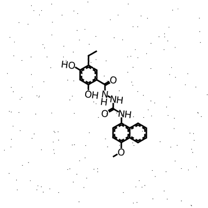 CCc1cc(C(=O)NNC(=O)Nc2ccc(OC)c3ccccc23)c(O)cc1O